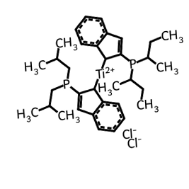 CCC(C)P(C1=Cc2ccccc2[CH]1[Ti+2][CH]1C(P(CC(C)C)CC(C)C)=Cc2ccccc21)C(C)CC.[Cl-].[Cl-]